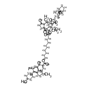 C=C[C@@]1(C)C[C@H](OC(=O)CSC2CC3CCC(C2)N3C)[C@@]2(C)C(C)CCC3(CCC(=O)C32)[C@H](C)[C@@H]1OC(=O)CCCCCCCCCOC(=O)c1cn2c3c(c(N4CCC(O)CC4)c(F)cc3c1=O)CCC2C